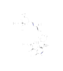 CC(/C=C/[C@@H]1CC2(CC2)CC(C)(C)O1)=C\C[C@H]1OC[C@@H](NC(=O)/C=C\[C@H](C)OC(=O)N(C)C)CO1